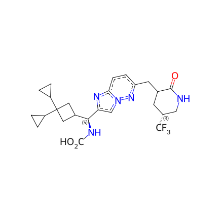 O=C(O)N[C@H](c1cn2nc(CC3C[C@@H](C(F)(F)F)CNC3=O)ccc2n1)C1CC(C2CC2)(C2CC2)C1